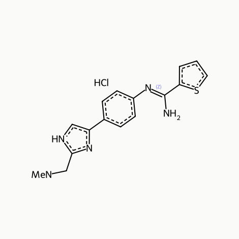 CNCc1nc(-c2ccc(/N=C(\N)c3cccs3)cc2)c[nH]1.Cl